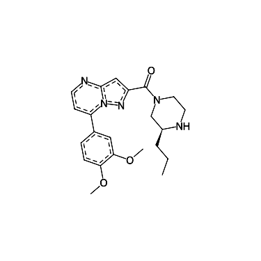 CCC[C@H]1CN(C(=O)c2cc3nccc(-c4ccc(OC)c(OC)c4)n3n2)CCN1